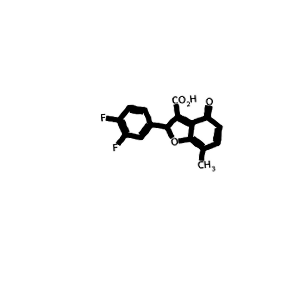 CC1=C2OC(c3ccc(F)c(F)c3)C(C(=O)O)=C2C(=O)C=C1